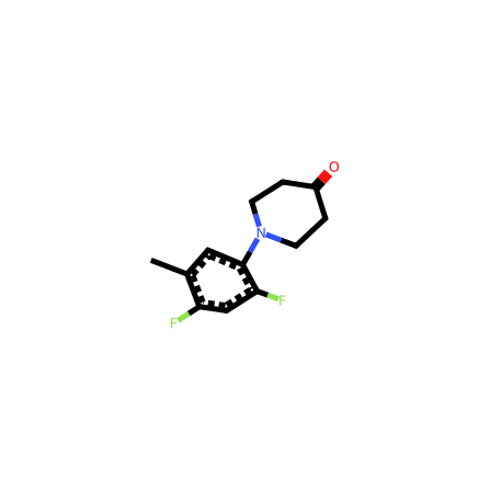 Cc1cc(N2CCC(=O)CC2)c(F)cc1F